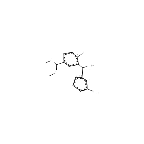 COC(OC)c1ccc(F)c(C(O)c2cccc(F)c2)c1